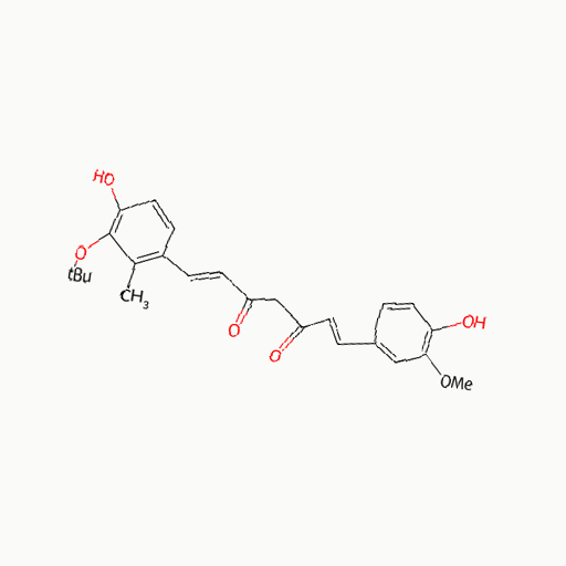 COc1cc(C=CC(=O)CC(=O)C=Cc2ccc(O)c(OC(C)(C)C)c2C)ccc1O